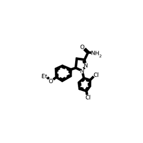 CCOc1ccc(C2CC(C(N)=O)=NN2c2ccc(Cl)cc2Cl)cc1